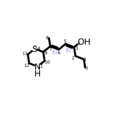 CCC/C(O)=C\C=C(/C)C1CNCCS1